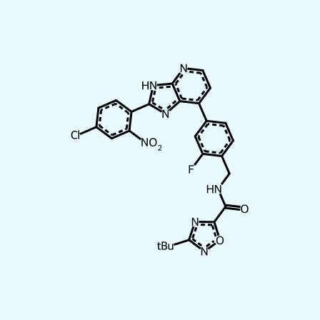 CC(C)(C)c1noc(C(=O)NCc2ccc(-c3ccnc4[nH]c(-c5ccc(Cl)cc5[N+](=O)[O-])nc34)cc2F)n1